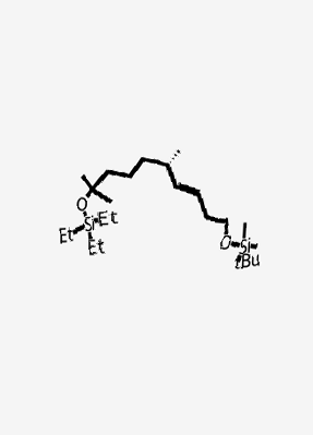 CC[Si](CC)(CC)OC(C)(C)CCC[C@H](C)C=CCCO[Si](C)(C)C(C)(C)C